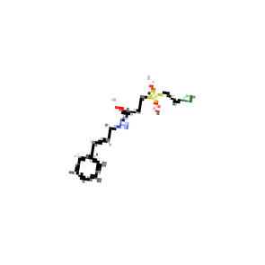 O=C(CCS(=O)(=O)CCCl)NCC=Cc1ccccc1